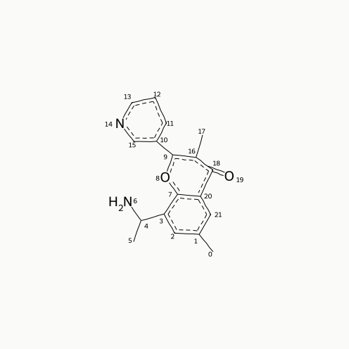 Cc1cc(C(C)N)c2oc(-c3cccnc3)c(C)c(=O)c2c1